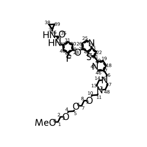 COCCOCCOCCOCCN1CCN(Cc2ccc(-c3cc4nccc(Oc5ccc(NC(=O)NC6CC6)cc5F)c4s3)nc2)CC1